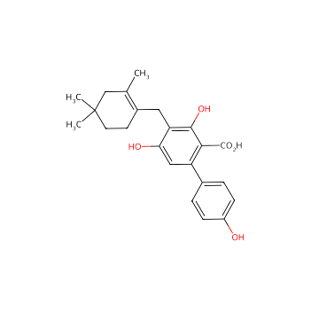 CC1=C(Cc2c(O)cc(-c3ccc(O)cc3)c(C(=O)O)c2O)CCC(C)(C)C1